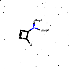 [Li][CH]1C=CC1N(CCCCCCC)CCCCCCC